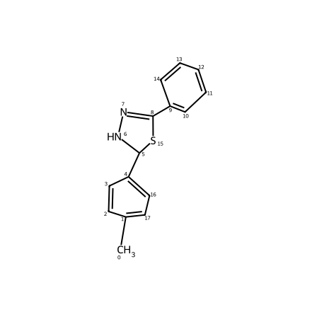 Cc1ccc(C2NN=C(c3ccccc3)S2)cc1